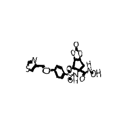 O=C1OC2CC(NS(=O)(=O)c3ccc(OCc4cscn4)cc3)(C(=O)NO)CC2O1